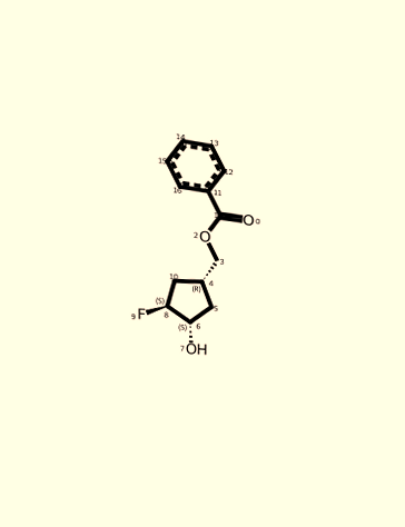 O=C(OC[C@@H]1C[C@H](O)[C@@H](F)C1)c1ccccc1